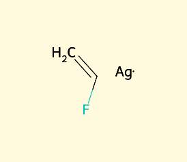 C=CF.[Ag]